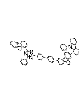 c1ccc(-c2nc(-c3ccc(-c4ccc(-c5ccc6oc7cc(-c8cccc9c%10ccccc%10n(-c%10ccccc%10)c89)ccc7c6c5)cc4)cc3)nc(-c3cccc4c3oc3ccccc34)n2)cc1